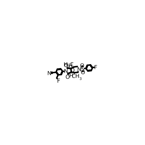 C[C@]12CN(S(=O)(=O)c3ccc(F)cc3)C[C@](C)(O1)[C@@H]1C(=O)N(c3ccc(C#N)c(CF)c3)C(=O)[C@@H]12